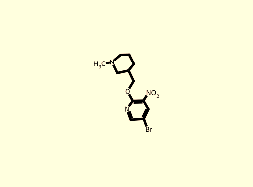 CN1CCCC(COc2ncc(Br)cc2[N+](=O)[O-])C1